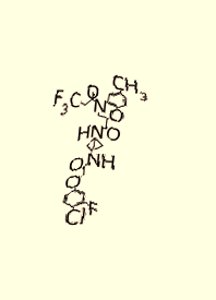 Cc1ccc2c(c1)N(C(=O)CC(F)(F)F)CC(C(=O)NC13CC(NC(=O)COc4ccc(Cl)c(F)c4)(C1)C3)O2